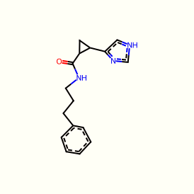 O=C(NCCCc1ccccc1)C1CC1c1c[nH]cn1